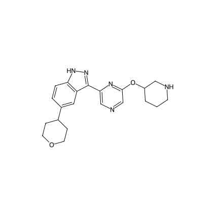 c1cc2[nH]nc(-c3cncc(OC4CCCNC4)n3)c2cc1C1CCOCC1